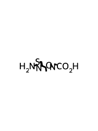 CC(ON=CC(=O)O)c1csc(N)n1